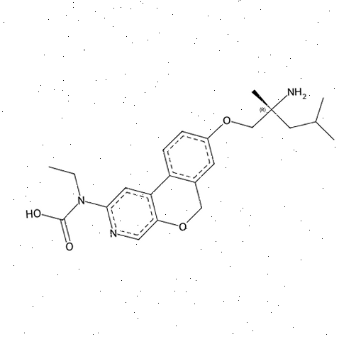 CCN(C(=O)O)c1cc2c(cn1)OCc1cc(OC[C@](C)(N)CC(C)C)ccc1-2